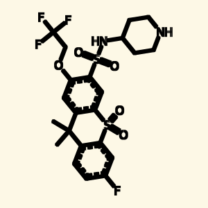 CC1(C)c2ccc(F)cc2S(=O)(=O)c2cc(S(=O)(=O)NC3CCNCC3)c(OCC(F)(F)F)cc21